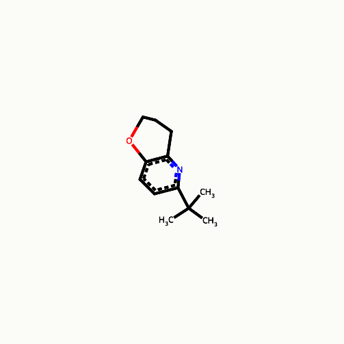 CC(C)(C)c1ccc2c(n1)CCCO2